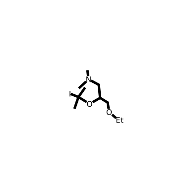 CCOCC(CN(C)C)OC(C)(C)I